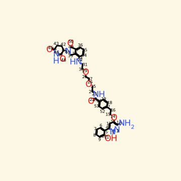 Nc1nnc(-c2ccccc2O)cc1OCCc1ccc(C(=O)NCCOCCOCCNc2cccc3c2CN(C2CCC(=O)NC2=O)C3=O)cc1